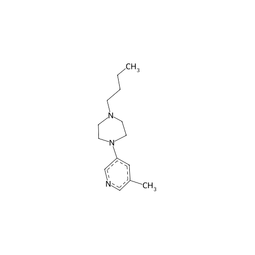 CCCCN1CCN(c2cncc(C)c2)CC1